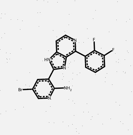 Nc1ncc(Br)cc1-c1nc2c(-c3cccc(F)c3F)nccc2[nH]1